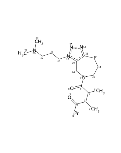 CC(C)C(=O)C(C)C(C)C(=O)N1CCCc2nnn(CCCN(C)C)c2C1